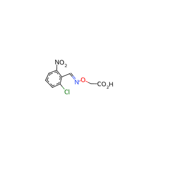 O=C(O)CO/N=C/c1c(Cl)cccc1[N+](=O)[O-]